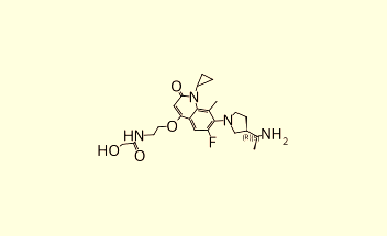 Cc1c(N2CC[C@@H]([C@H](C)N)C2)c(F)cc2c(OCCNC(=O)CO)cc(=O)n(C3CC3)c12